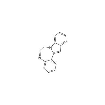 C1=Nc2ccccc2-c2cc3ccccc3n2C1